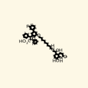 O=C(O)N(C(c1ccccc1)c1cc(OCCCCCCCCCNC[C@H](O)c2ccc(O)c3[nH]c(=O)ccc23)cc(-c2cccc(F)c2)c1)[C@H]1CN2CCC1CC2